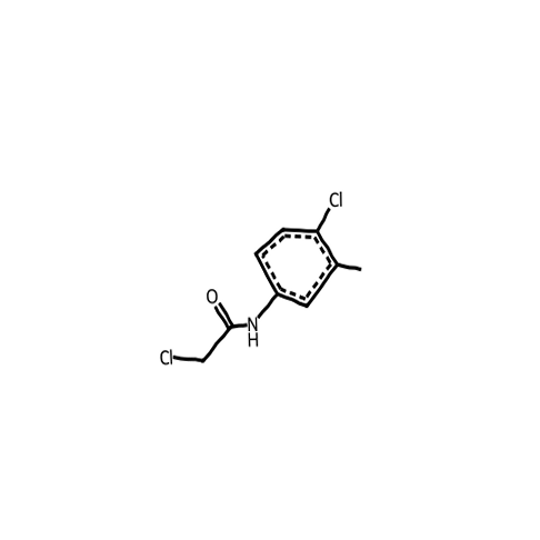 Cc1cc(NC(=O)CCl)ccc1Cl